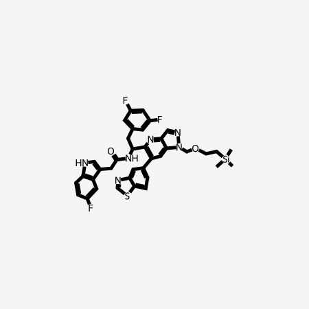 C[Si](C)(C)CCOCn1ncc2nc(C(Cc3cc(F)cc(F)c3)NC(=O)Cc3c[nH]c4ccc(F)cc34)c(-c3ccc4scnc4c3)cc21